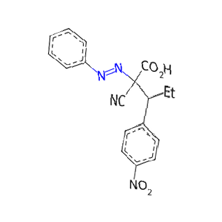 CCC(c1ccc([N+](=O)[O-])cc1)C(C#N)(N=Nc1ccccc1)C(=O)O